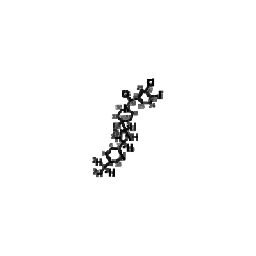 [2H]C([2H])([2H])c1ccc(C([2H])([2H])NC([2H])([2H])C2(F)CCN(C(=O)c3ccc(F)c(Cl)c3)CC2)nc1